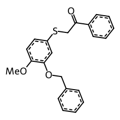 COc1ccc(SCC(=O)c2ccccc2)cc1OCc1ccccc1